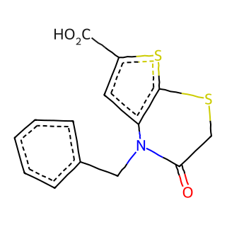 O=C(O)c1cc2c(s1)SCC(=O)N2Cc1ccccc1